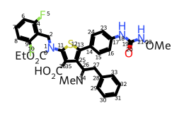 CCOC(=O)N(Cc1c(F)cccc1F)c1sc(-c2ccc(NC(=O)NOC)cc2)c(C(Cc2ccccc2)NC)c1C(=O)O